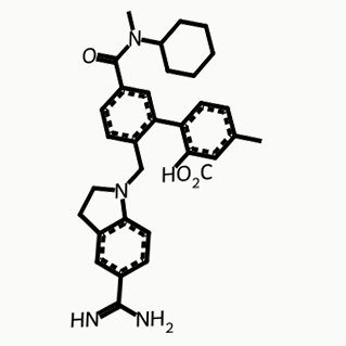 Cc1ccc(-c2cc(C(=O)N(C)C3CCCCC3)ccc2CN2CCc3cc(C(=N)N)ccc32)c(C(=O)O)c1